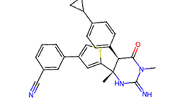 CN1C(=N)N[C@](C)(c2cc(-c3cccc(C#N)c3)cs2)[C@@H](c2ccc(C3CC3)cc2)C1=O